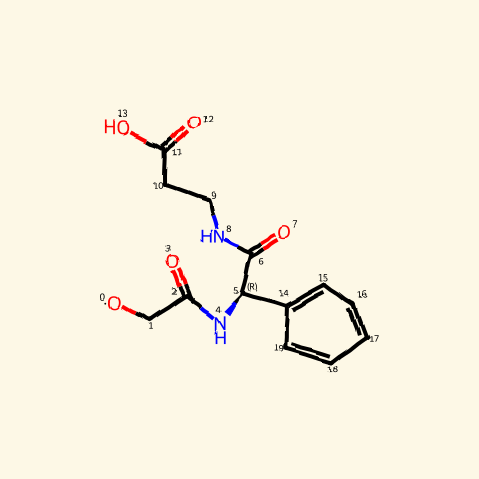 [O]CC(=O)N[C@@H](C(=O)NCCC(=O)O)c1ccccc1